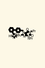 CCCCc1nc2c(c(=O)n(CCC)c(=O)n2CCC)n1Cc1ccc(-c2ccccc2-c2nnn[nH]2)cc1